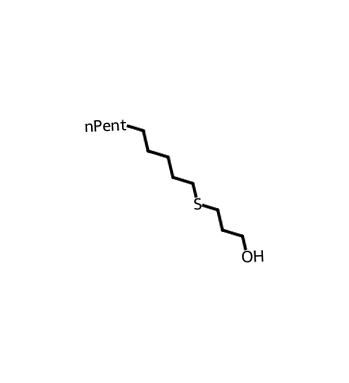 CCCCCCCCCCSCCCO